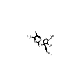 CC#CC1(O)C(O)[C@@H](CO)O[C@H]1n1cc(F)c(N)nc1=O